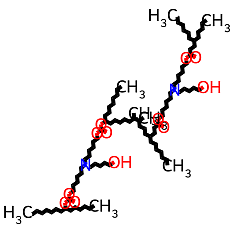 CCCCCCCCC(CCCCCC)OC(=O)OCCCCCCN(CCCCCO)CCCCCCOC(=O)OC(CCCCCCCC)CCCCCC(C)C(C)CCCC(CCCCCCC)CCC(=O)OCCCCCCN(CCCCCO)CCCCCCOC(=O)CCC(CCCCC)CCCCCCC